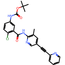 Cc1cc(C#Cc2ccccn2)cnc1NC(=O)c1cc(NC(=O)OC(C)(C)C)ccc1Cl